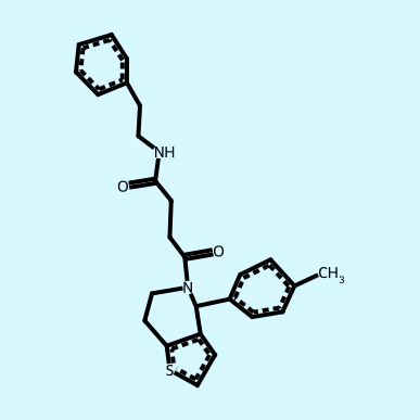 Cc1ccc(C2c3ccsc3CCN2C(=O)CCC(=O)NCCc2ccccc2)cc1